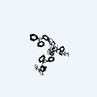 C[C@@H]1COCCN1c1cc(C2(S(C)(=O)=O)CCC2)nc(-c2cccc3[nH]ccc23)n1.[Cl][Pd][Cl].c1ccc(P(c2ccccc2)c2ccccc2)cc1.c1ccc(P(c2ccccc2)c2ccccc2)cc1